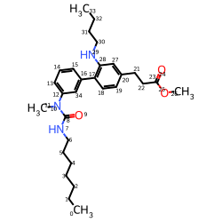 CCCCCCCNC(=O)N(C)c1cccc(-c2ccc(CCC(=O)OC)cc2NCCCC)c1